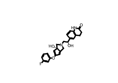 O=C1CCc2cc([C@H](O)CN3CC4=CC(Oc5cccc(F)c5)=C[C@@]4(O)C3)ccc2N1